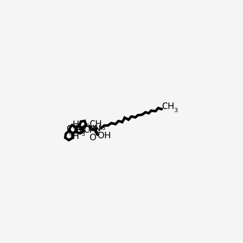 CCCCCCCCCCCCCCCCCCCCNC(CC(C)[C@H]1CC[C@H]2[C@@H]3CCC4CCCC[C@]4(C)[C@H]3CC[C@]12C)C(=O)O